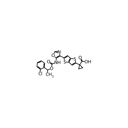 CC(OC(=O)Nc1ocnc1-c1cc2sc(C3(C(=O)O)CC3)cc2s1)c1ccccc1Cl